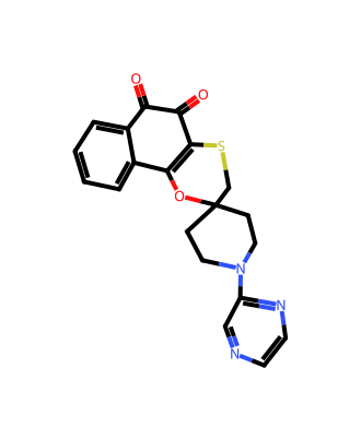 O=C1C(=O)c2ccccc2C2=C1SCC1(CCN(c3cnccn3)CC1)O2